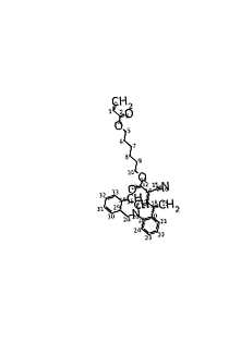 C=CC(=O)OCCCCCCOC(=O)/C(C#N)=C/C(=C)c1ccccc1N(C)CC1C=CC=C[C@H]1C